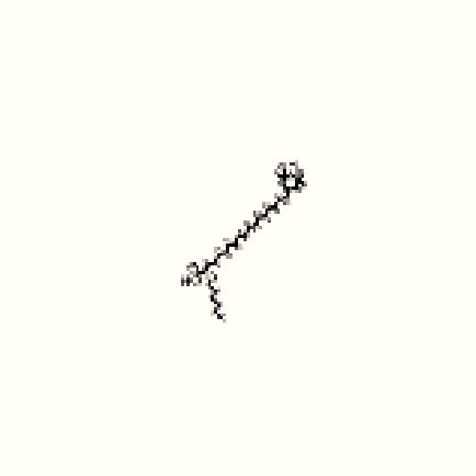 CCCCCCOC(CCCCCCCCCCCCCCCCC1CC(C)(C)NC(C)(C)C1)C(=O)O